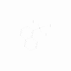 CC(C)(O)c1cccc2ccccc12